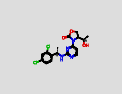 C[C@H](Nc1nccc(N2C(=O)OCC2[C@@H](C)O)n1)c1ccc(Cl)cc1Cl